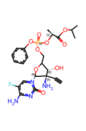 C#C[C@@]1(N)[C@@H](O)C(CO[P@](=O)(Oc2ccccc2)O[C@@H](C)C(=O)OC(C)C)O[C@H]1n1cc(F)c(N)nc1=O